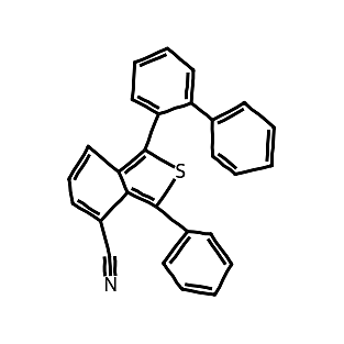 N#Cc1cccc2c(-c3ccccc3-c3ccccc3)sc(-c3ccccc3)c12